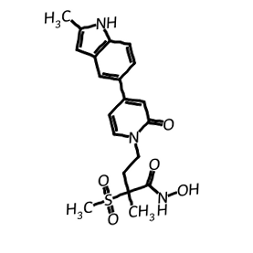 Cc1cc2cc(-c3ccn(CCC(C)(C(=O)NO)S(C)(=O)=O)c(=O)c3)ccc2[nH]1